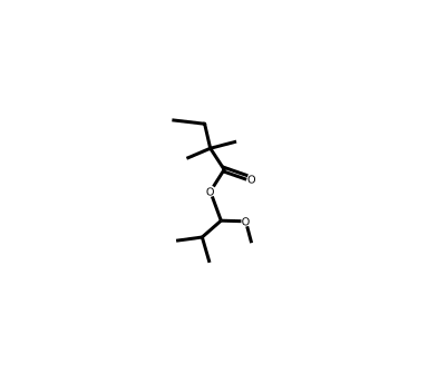 CCC(C)(C)C(=O)OC(OC)C(C)C